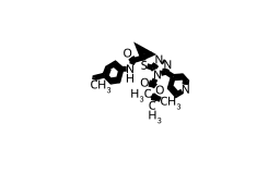 CCc1ccc(NC(=O)C2(Sc3nnc(-c4ccncc4)n3C(=O)OC(C)(C)C)CC2)cc1